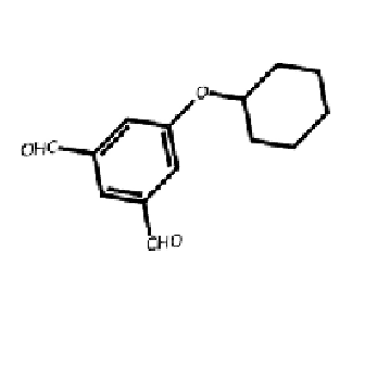 O=Cc1cc(C=O)cc(OC2CCCCC2)c1